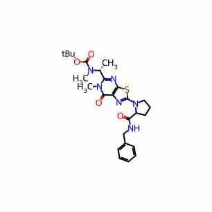 C[C@H](c1nc2sc(N3CCCC3C(=O)NCc3ccccc3)nc2c(=O)n1C)N(C)C(=O)OC(C)(C)C